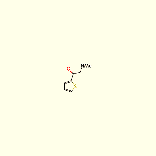 CNCC(=O)c1cccs1